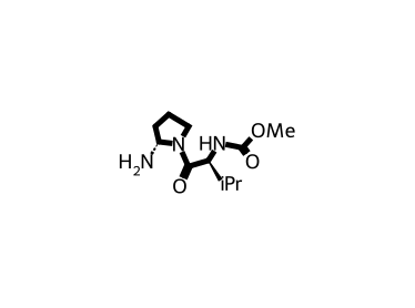 COC(=O)N[C@H](C(=O)N1CCC[C@H]1N)C(C)C